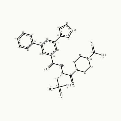 O=C(N[C@@H](CP(=O)(O)O)C(=O)N1CCN(C(=O)O)CC1)c1cc(-c2ccsc2)cc(-c2ccccc2)n1